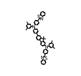 Cc1cc(C)cc(N(c2ccc(-c3ccc4c(c3)C(C)(C)c3cc(N(c5ccc(-c6nc7ccccc7s6)cc5)c5cc(C)cc(C)c5)ccc3-4)cc2)c2ccc(-c3nc4ccccc4s3)cc2)c1